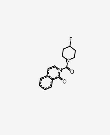 O=C(N1CCC(F)CC1)n1ccc2ccccc2c1=O